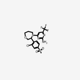 CS(=O)(=O)c1ccc(C2COCCCN2c2cc(C(F)(F)F)nc(N)n2)c(Cl)c1